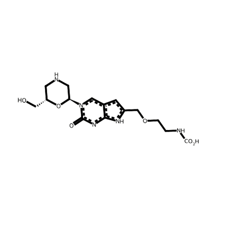 O=C(O)NCCOCc1cc2cn([C@@H]3CNC[C@@H](CO)O3)c(=O)nc2[nH]1